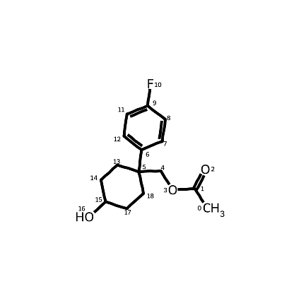 CC(=O)OCC1(c2ccc(F)cc2)CCC(O)CC1